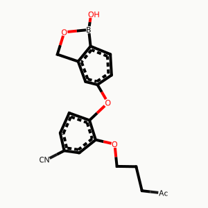 [C-]#[N+]c1ccc(Oc2ccc3c(c2)COB3O)c(OCCCC(C)=O)c1